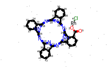 O=C([O][Rh][Cl])c1cccc2c3nc4nc(nc5[nH]c(nc6nc(nc([nH]3)c12)-c1ccccc1-6)c1ccccc51)-c1ccccc1-4